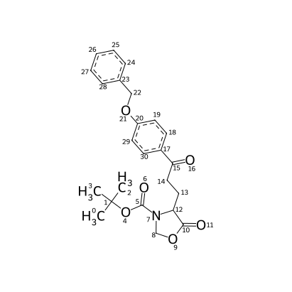 CC(C)(C)OC(=O)N1COC(=O)C1CCC(=O)c1ccc(OCc2ccccc2)cc1